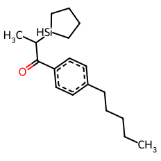 CCCCCc1ccc(C(=O)C(C)[SiH]2CCCC2)cc1